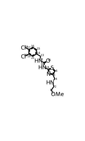 COCCNCc1csc(NC(=O)NCc2ccc(Cl)c(Cl)c2)n1